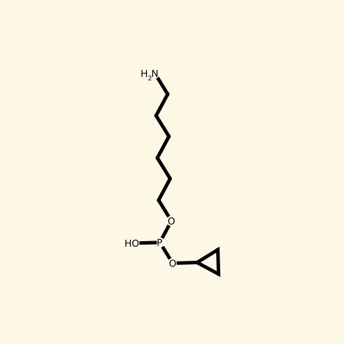 NCCCCCCOP(O)OC1CC1